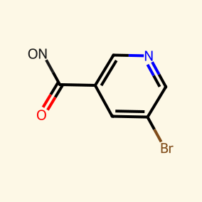 O=NC(=O)c1cncc(Br)c1